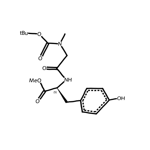 COC(=O)[C@H](Cc1ccc(O)cc1)NC(=O)CN(C)C(=O)OC(C)(C)C